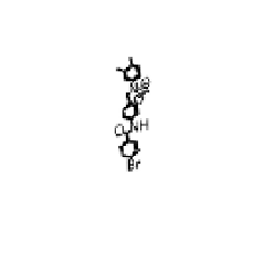 Cc1ccc(N(Cc2ccc(NC(=O)c3ccc(Br)cc3)cc2)S(C)(=O)=O)cc1C